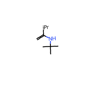 C=C(NC(C)(C)C)C(C)C